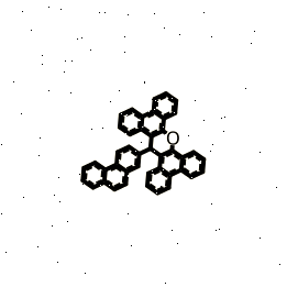 c1ccc2c(c1)ccc1cc(C3c4c(c5ccccc5c5ccccc45)Oc4c3c3ccccc3c3ccccc43)ccc12